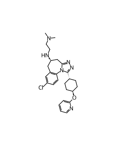 CN(C)CCN[C@@H]1Cc2cc(Cl)ccc2-n2c(nnc2[C@H]2CC[C@H](Oc3ccccn3)CC2)C1